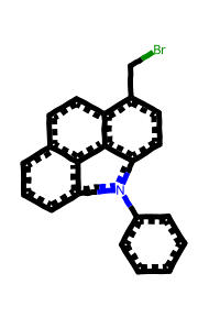 BrCc1ccc2c3c1ccc1cccc(c13)n2-c1ccccc1